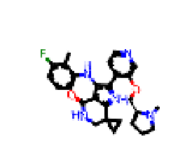 Cc1c(F)cccc1Nc1c(-c2ccncc2OC[C@@H]2CCCN2C)[nH]c2c1C(=O)NCC21CC1